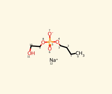 CCCCOP(=O)([O-])OCCO.[Na+]